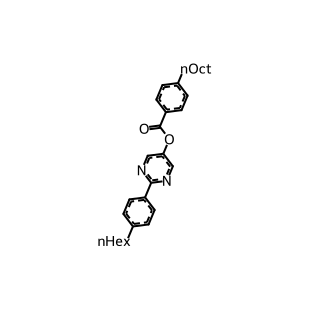 CCCCCCCCc1ccc(C(=O)Oc2cnc(-c3ccc(CCCCCC)cc3)nc2)cc1